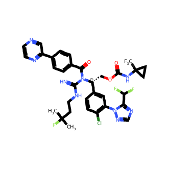 CC(C)(F)CCNC(=N)N(C(=O)c1ccc(-c2cnccn2)cc1)[C@H](COC(=O)NC1(C(F)(F)F)CC1)c1ccc(Cl)c(-n2ncnc2C(F)F)c1